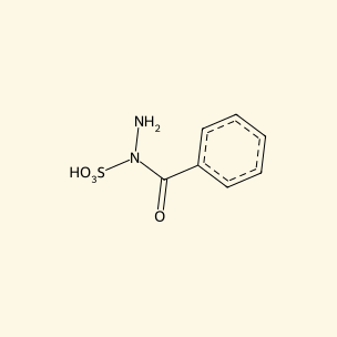 NN(C(=O)c1ccccc1)S(=O)(=O)O